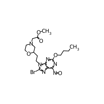 CCCCOc1nc(N=O)c2nc(Br)n(CCC3CN(CC(=O)OC)CCO3)c2n1